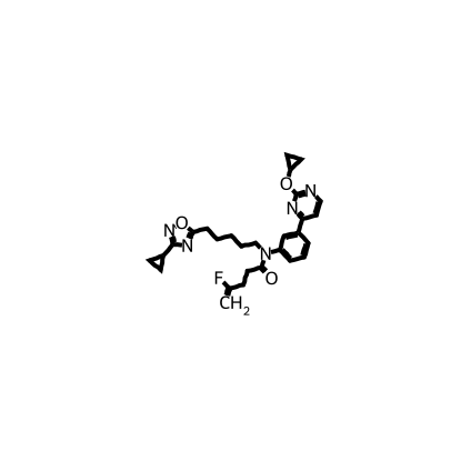 C=C(F)CCC(=O)N(CCCCCc1nc(C2CC2)no1)c1cccc(-c2ccnc(OC3CC3)n2)c1